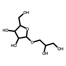 OCC(O)COC1OC(CO)C(O)C1O